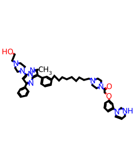 Cc1nn2c(N3CCN(CCO)CC3)cc(-c3ccccc3)nc2c1-c1cccc(CCCCCCCCCN2CCN(C(=O)COc3cccc(N4C=CCNC4)c3)CC2)c1